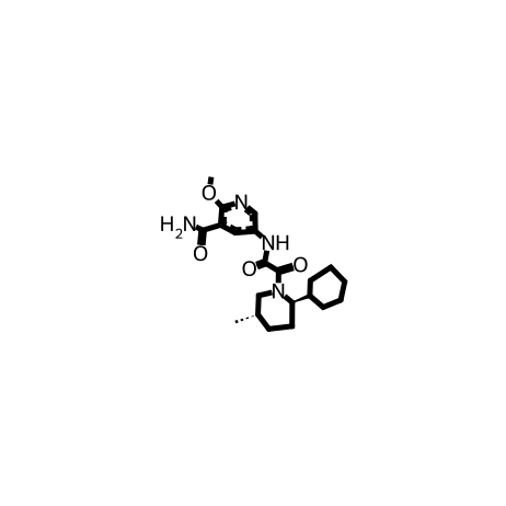 COc1ncc(NC(=O)C(=O)N2C[C@@H](C)CC[C@@H]2C2CCCCC2)cc1C(N)=O